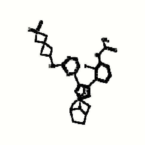 CC(=O)Nc1cccc(-c2nc(N3C4CCC3CN(C)C4)sc2-c2ccnc(NC3CC4(C3)CS(=O)(=O)C4)n2)c1F